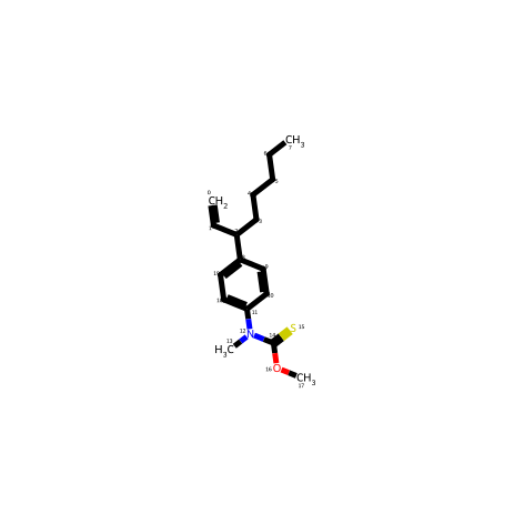 C=CC(CCCCC)c1ccc(N(C)C(=S)OC)cc1